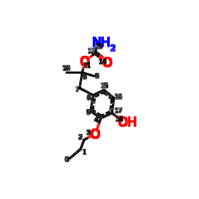 CCCOc1cc(CC(C)(C)OC(N)=O)ccc1O